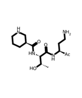 CC(=O)[C@H](CCN)NC(=O)[C@@H](NC(=O)[C@H]1CCCNC1)[C@H](C)O